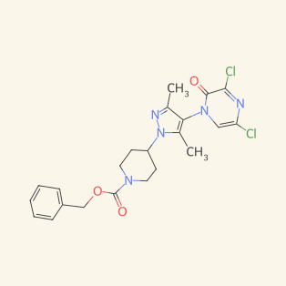 Cc1nn(C2CCN(C(=O)OCc3ccccc3)CC2)c(C)c1-n1cc(Cl)nc(Cl)c1=O